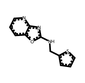 c1csc(CNc2nc3ncccc3o2)c1